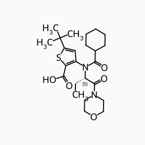 CC[C@@H](C(=O)N1CCOCC1)N(C(=O)C1CCCCC1)c1cc(C(C)(C)C)sc1C(=O)O